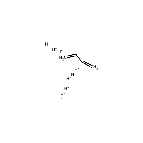 C=CC=C.[H+].[H+].[H+].[H+].[H+].[H+].[H+].[H+].[H+]